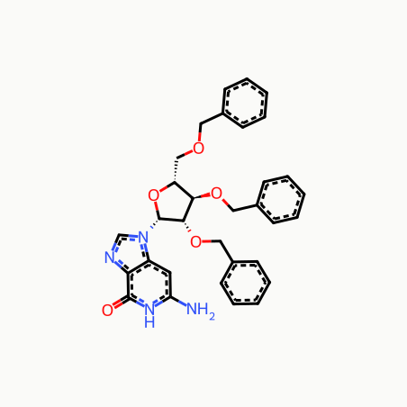 Nc1cc2c(ncn2[C@@H]2O[C@H](COCc3ccccc3)[C@@H](OCc3ccccc3)[C@@H]2OCc2ccccc2)c(=O)[nH]1